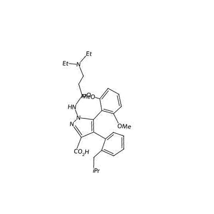 CCN(CC)CCC(=O)Nn1nc(C(=O)O)c(-c2ccccc2CC(C)C)c1-c1c(OC)cccc1OC